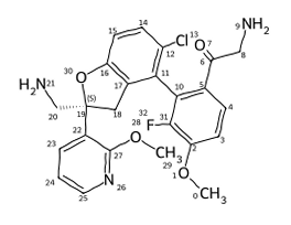 COc1ccc(C(=O)CN)c(-c2c(Cl)ccc3c2C[C@@](CN)(c2cccnc2OC)O3)c1F